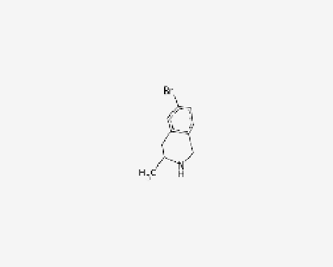 CC1Cc2cc(Br)ccc2CN1